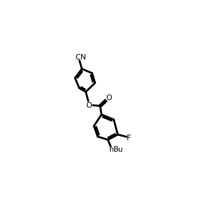 CCCCc1ccc(C(=O)Oc2ccc(C#N)cc2)cc1F